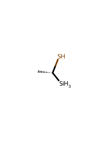 C[C@@H]([SiH3])S